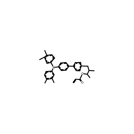 C=CC(=O)OC(C)C(C)Cc1ccc(-c2ccc(N(c3ccc(C)c(C)c3)c3ccc(C)c(C)c3)cc2)cc1